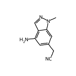 Cn1ncc2c(N)cc(CC#N)cc21